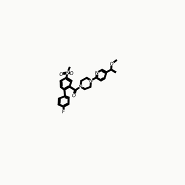 COC(C)c1ccc(N2CCN(C(=O)c3cc(S(C)(=O)=O)ccc3-c3ccc(F)cc3)CC2)nc1